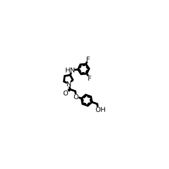 O=C(COc1ccc(CO)cc1)N1CCC(Nc2cc(F)cc(F)c2)C1